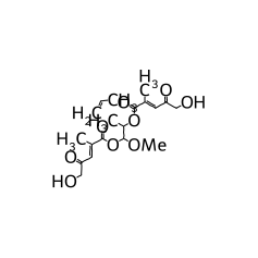 C=CC.COC(OC(=O)C(C)=CC(=O)CO)C(C)OC(=O)C(C)=CC(=O)CO